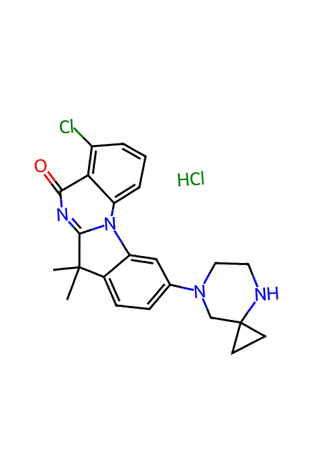 CC1(C)c2ccc(N3CCNC4(CC4)C3)cc2-n2c1nc(=O)c1c(Cl)cccc12.Cl